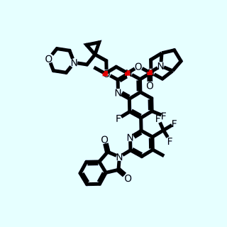 CCCCOC(=O)N1C2CCC1CN(c1nc(OCC3(CN4CCOCC4)CC3)nc3c(F)c(-c4nc(N5C(=O)c6ccccc6C5=O)cc(C)c4C(F)(F)F)c(F)cc13)C2